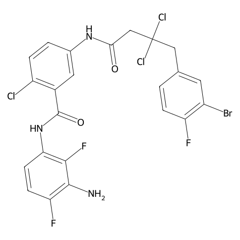 Nc1c(F)ccc(NC(=O)c2cc(NC(=O)CC(Cl)(Cl)Cc3ccc(F)c(Br)c3)ccc2Cl)c1F